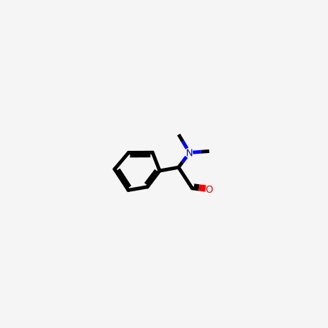 CN(C)C(C=O)c1ccccc1